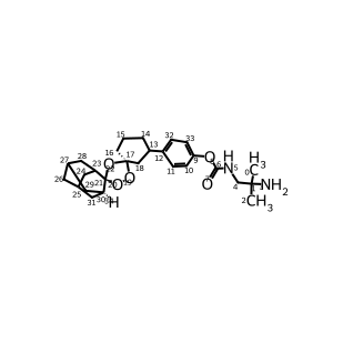 CC(C)(N)CNC(=O)Oc1ccc(C2CCC[C@]3(C2)OO[C@]2(O3)C3CC4CC(C3)C[C@@H]2C4)cc1